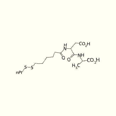 CCCSSCCCCCC(=O)NC(CC(=O)O)C(=O)NC(C)C(=O)O